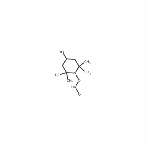 CC1(C)CC(O)CC(C)(C)N1ON[O]